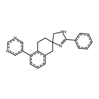 c1ccc(C2=NC3(CCc4c(cccc4-c4cncnc4)C3)CN2)cc1